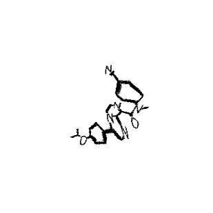 CC(C)Oc1ccc(-c2cnc3c(C(=O)N(C)c4ccc(C#N)cc4)nccn23)cc1